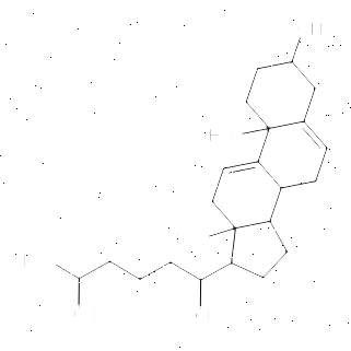 CC(C)CCCC(C)C1CCC2C3CC=C4CC(O)CCC4(C)C3=CCC12C